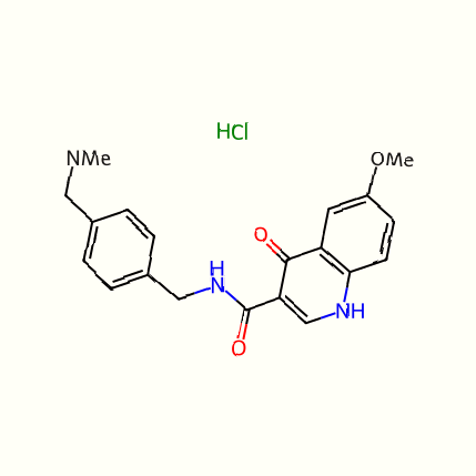 CNCc1ccc(CNC(=O)c2c[nH]c3ccc(OC)cc3c2=O)cc1.Cl